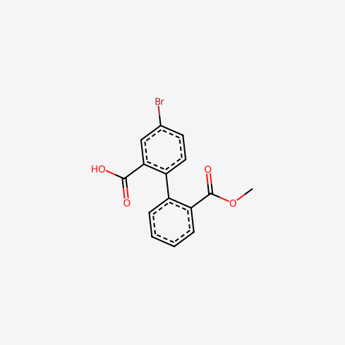 COC(=O)c1ccccc1-c1ccc(Br)cc1C(=O)O